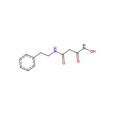 O=C(CC(=O)NCCc1ccccc1)NO